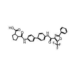 O=C(Nc1ccc(-c2ccc(NC(=O)C3CCCC3C(=O)O)cc2)cc1)c1nc(-c2ccccc2)oc1C(F)(F)F